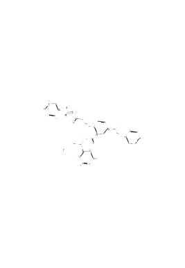 CC(C)CC(NC(=O)c1cc(COc2ccccc2)ccc1OCC(=O)NS(=O)(=O)c1ccccc1)c1ccccc1